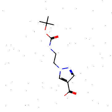 CC(C)(C)OC(=O)NCCn1cc(C(=O)O)cn1